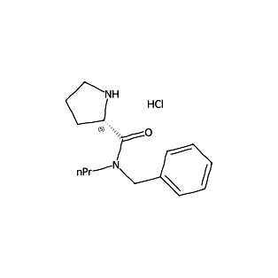 CCCN(Cc1ccccc1)C(=O)[C@@H]1CCCN1.Cl